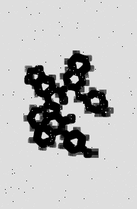 Cl.O=C(c1cc(-c2cc3c(cc2C(=O)N2Cc4ccccc4C[C@H]2CN2CCOCC2)OCO3)n2c1CCCC2)N(c1ccccc1)c1ccc(O)cc1